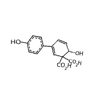 O=C(O)C1(C(=O)O)C=C(c2ccc(O)cc2)C=CC1O